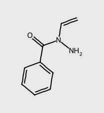 C=CN(N)C(=O)c1ccccc1